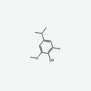 COc1cc(C(C)C)cc(I)c1O